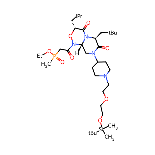 CCOP(C)(=O)CC(=O)N1O[C@H](CC(C)C)C(=O)N2[C@@H]1CN(C1CCN(CCOCCO[Si](C)(C)C(C)(C)C)CC1)C(=O)[C@@H]2CC(C)(C)C